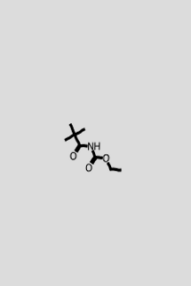 CCOC(=O)NC(=O)C(C)(C)C